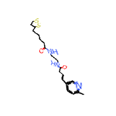 Cc1ccc(/C=C/CC(=O)NCCNC(=O)CCCCC2CCSS2)cn1